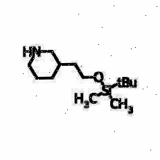 CC(C)(C)[Si](C)(C)OCCC1CCCNC1